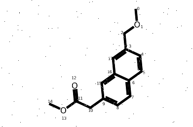 COCc1ccc2ccc(CC(=O)OC)cc2c1